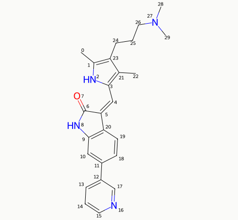 Cc1[nH]c(C=C2C(=O)Nc3cc(-c4cccnc4)ccc32)c(C)c1CCCN(C)C